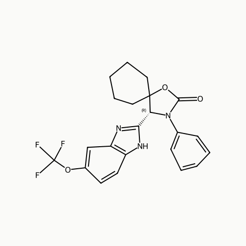 O=C1OC2(CCCCC2)[C@@H](c2nc3cc(OC(F)(F)F)ccc3[nH]2)N1c1ccccc1